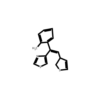 Cc1ccccc1C(=CC1C=CSC1)c1cscn1